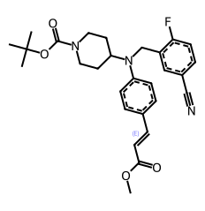 COC(=O)/C=C/c1ccc(N(Cc2cc(C#N)ccc2F)C2CCN(C(=O)OC(C)(C)C)CC2)cc1